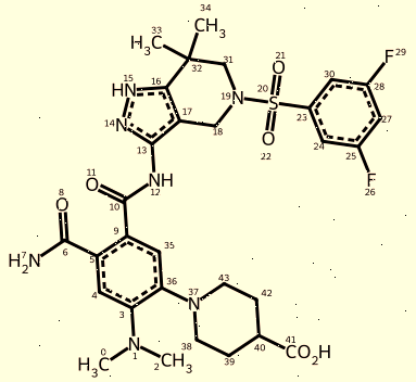 CN(C)c1cc(C(N)=O)c(C(=O)Nc2n[nH]c3c2CN(S(=O)(=O)c2cc(F)cc(F)c2)CC3(C)C)cc1N1CCC(C(=O)O)CC1